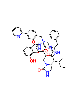 CCC(C)C(C(=O)NC(Cc1ccccc1)C(O)CN(Cc1ccc(-c2ccccn2)cc1)NC(=O)c1cccc(O)c1C)C1CNC(=O)N1Cc1ccnc2ccccc12